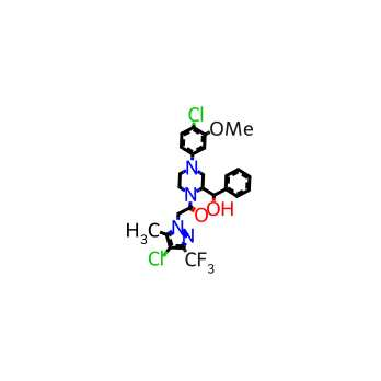 COc1cc(N2CCN(C(=O)Cn3nc(C(F)(F)F)c(Cl)c3C)C(C(O)c3ccccc3)C2)ccc1Cl